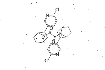 O=C(C(=O)N1C2CCC1C(c1ccc(Cl)nc1)C2)N1C2CCC1C(c1ccc(Cl)nc1)C2